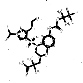 CCOc1nn(C(F)F)cc1S(=O)(=O)N1CC(CC(C)(C)C(=O)O)Oc2ccc(NC(=O)OC(C)(C)C(F)(F)F)cc21